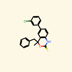 CC1(Cc2ccccc2)OC(=S)Nc2ccc(-c3cccc(Cl)c3)cc21